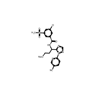 COCCC(NC(=O)c1cc(Cl)cc(S(C)(=O)=O)c1)c1ncnn1-c1ccc(C#N)cn1